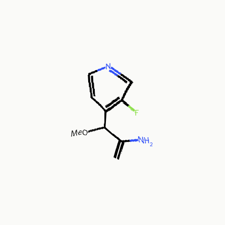 C=C(N)C(OC)c1ccncc1F